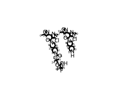 Cc1cc(-c2nn(C)c(Cl)c2C(=O)N2CCC3(CCN(C(=O)OC(C)(C)C)CC3)CC2)no1.Cc1cc(-c2nn(C)c(Cl)c2C(=O)N2CCC3(CCNCC3)CC2)no1.O=C(O)C(F)(F)F